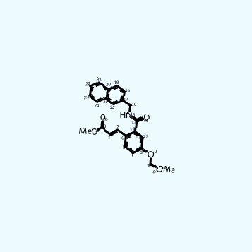 COCOc1ccc(/C=C/C(=O)OC)c(C(=O)NCc2ccc3ccccc3c2)c1